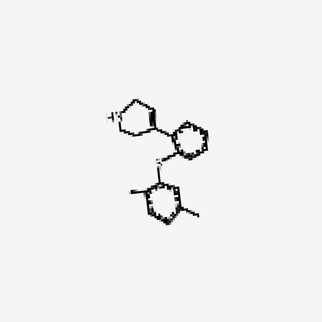 Cc1ccc(C)c(Sc2ccccc2C2=CCNCC2)c1